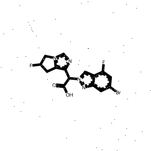 O=C(O)C(c1ncn2c1CC(F)C2)n1cc2c(F)cc(Br)cc2n1